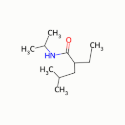 CCC(CC(C)C)C(=O)NC(C)C